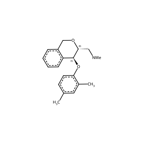 CNC[C@H]1OCc2ccccc2[C@@H]1Oc1ccc(C)cc1C